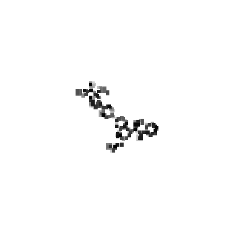 CCC1CN(C(=O)Nc2ccccc2Cl)c2ccc(-c3ccc(OCC(C)(C)C(C)=O)nc3)cc2O1